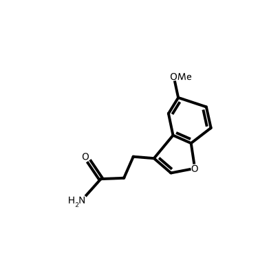 COc1ccc2occ(CCC(N)=O)c2c1